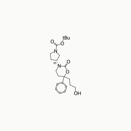 CC(C)(C)OC(=O)N1CC[C@@H](N2CCC(CCCO)(c3ccccc3)OC2=O)C1